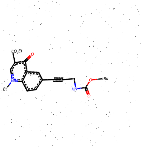 CCOC(=O)c1cn(CC)c2ccc(C#CCNC(=O)OC(C)(C)C)cc2c1=O